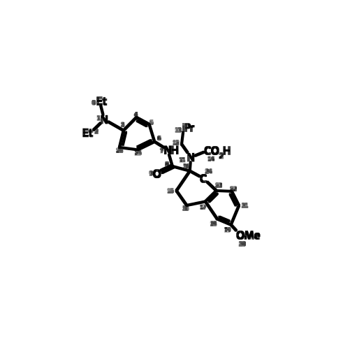 CCN(CC)c1ccc(NC(=O)C2(N(CC(C)C)C(=O)O)CCc3cc(OC)ccc3C2)cc1